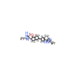 CC(C)c1nc2c([nH]1)COc1c-2ccc2cc(-c3ccc4c(c3)CCc3nc(C(C)C)[nH]c3-4)ccc12